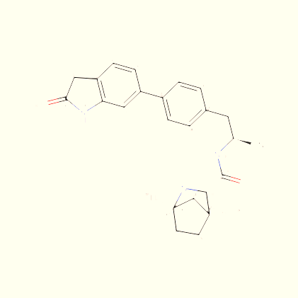 N#C[C@H](Cc1ccc(-c2ccc3c(c2)NC(=O)C3)cc1)NC(=O)[C@H]1N[C@@H]2CC[C@H]1C2